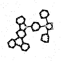 c1ccc(-c2nnc(-c3ccccc3)n2-c2ccc(-n3c4ccccc4c4cc5c6ccccc6c6ccccc6c5cc43)cc2)cc1